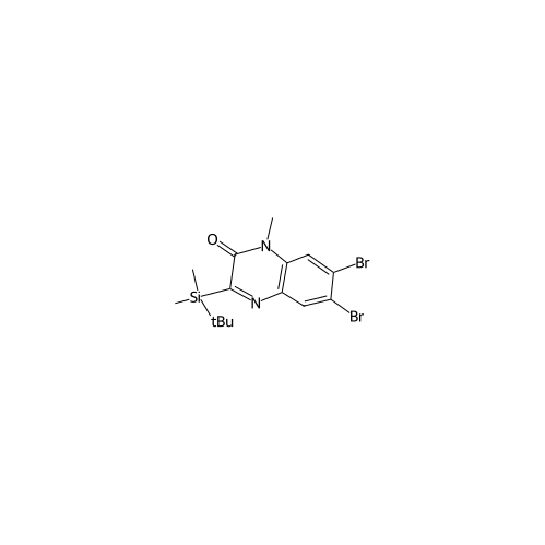 Cn1c(=O)c([Si](C)(C)C(C)(C)C)nc2cc(Br)c(Br)cc21